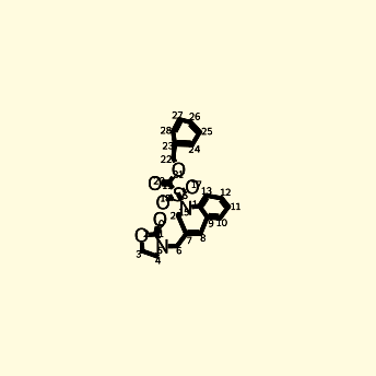 O=C1OCCN1CC1=Cc2ccccc2N(S(=O)(=O)C(=O)OCc2ccccc2)C1